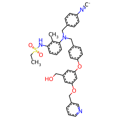 [C-]#[N+]c1ccc(CN(Cc2ccc(Oc3cc(CO)cc(OCc4cccnc4)c3)cc2)c2cccc(NS(=O)(=O)CC)c2C)cc1